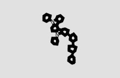 c1ccc(-c2ccc(-c3cccc(-c4ccc5c6c7c8ccccc8n(-c8ccccc8)c7ccc6n(-c6ccccc6)c5c4)c3)cc2)cc#1